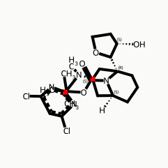 CN(c1nc(Cl)cc(Cl)n1)[C@H]1C[C@@H]2CCC[C@](C3OCC[C@@H]3O)(C1)N2C(=O)OC(C)(C)C